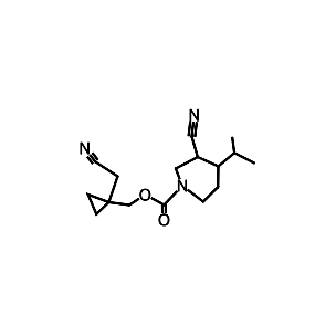 CC(C)C1CCN(C(=O)OCC2(CC#N)CC2)CC1C#N